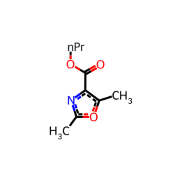 CCCOC(=O)c1nc(C)oc1C